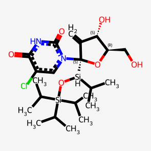 C=C1[C@H](O)[C@@H](CO)O[C@]1(n1cc(Cl)c(=O)[nH]c1=O)[SiH](O[Si](C(C)C)(C(C)C)C(C)C)C(C)C